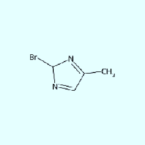 CC1=NC(Br)N=C1